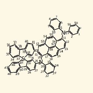 c1ccc(N(c2ccccc2)c2ccc3ccc4c(N(c5ccccc5)c5ccc6c(c5)[Si]5(c7ccccc7-c7ccccc75)c5ccccc5-6)ccc5ccc2c3c54)cc1